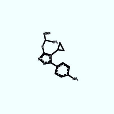 CCCCCCCCCCC(C)Sc1nnc(-c2ccc(N)cc2)n1C1CC1